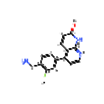 NCc1ccc(-c2ccnc3[nH]c(=O)ccc23)cc1F